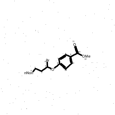 CCCCCCCCCCCC(Br)Oc1ccc(C(=O)OC)cc1